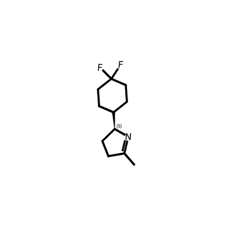 CC1=N[C@H](C2CCC(F)(F)CC2)CC1